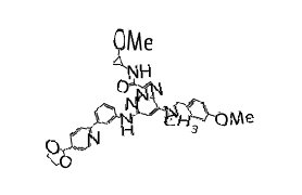 COc1ccc(CN(C)c2cc(Nc3cccc(-c4ccc(C5OCCO5)cn4)c3)nn3c(C(=O)NC4CC4OC)cnc23)cc1